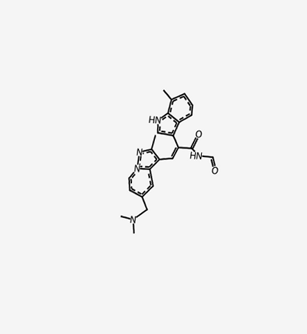 Cc1nn2ccc(CN(C)C)cc2c1/C=C(/C(=O)NC=O)c1c[nH]c2c(C)cccc12